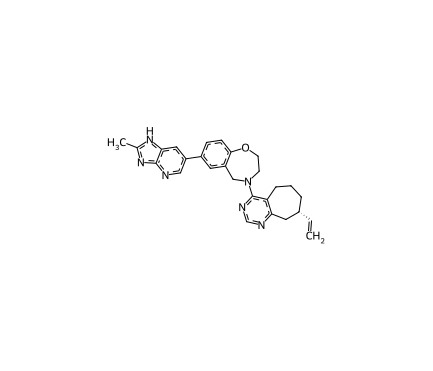 C=C[C@H]1CCCc2c(ncnc2N2CCOc3ccc(-c4cnc5nc(C)[nH]c5c4)cc3C2)C1